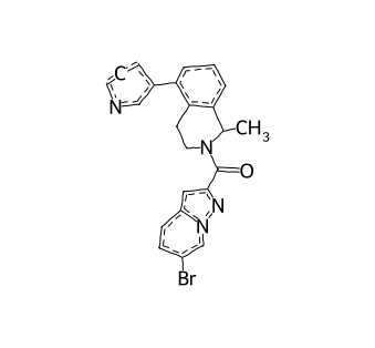 CC1c2cccc(-c3cccnc3)c2CCN1C(=O)c1cc2ccc(Br)cn2n1